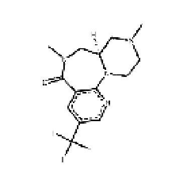 CN1CCN2c3ncc(C(F)(F)F)cc3C(=O)N(C)C[C@H]2C1